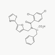 O=C(O)[C@H](Cc1ccccc1)N(Cc1ccc(-c2nccs2)o1)C(=O)c1ccc(Cl)cc1Cl